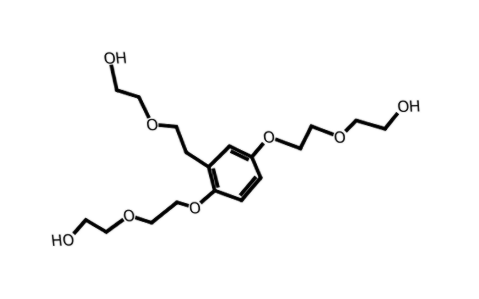 OCCOCCOc1ccc(OCCOCCO)c(CCOCCO)c1